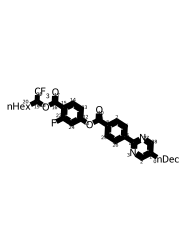 CCCCCCCCCCc1cnc(-c2ccc(C(=O)Oc3ccc(C(=O)OC(CCCCCC)C(F)(F)F)c(F)c3)cc2)nc1